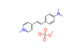 CN(C)c1ccc(C=Cc2cc[n+](C)cc2)cc1.COS(=O)(=O)[O-]